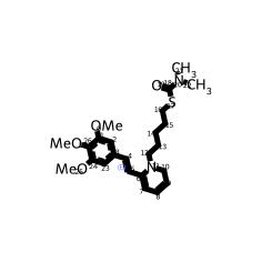 COc1cc(/C=C/C2=CC=CCN2CCCCCSC(=O)N(C)C)cc(OC)c1OC